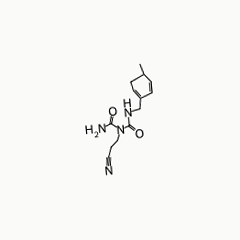 CC1C=CC(CNC(=O)N(CCC#N)C(N)=O)=CC1